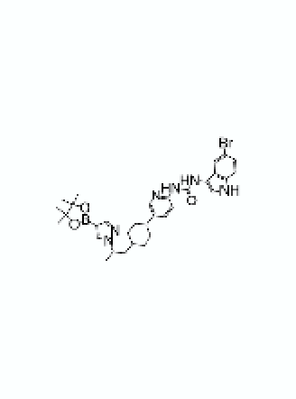 CC(CC1CCC(c2ccc(NC(=O)Nc3c[nH]c4ccc(Br)cc34)nc2)CC1)n1cc(B2OC(C)(C)C(C)(C)O2)cn1